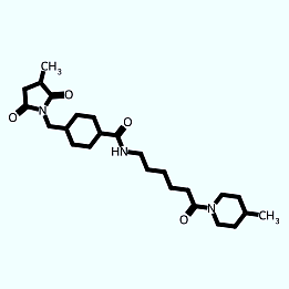 CC1CCN(C(=O)CCCCCNC(=O)C2CCC(CN3C(=O)CC(C)C3=O)CC2)CC1